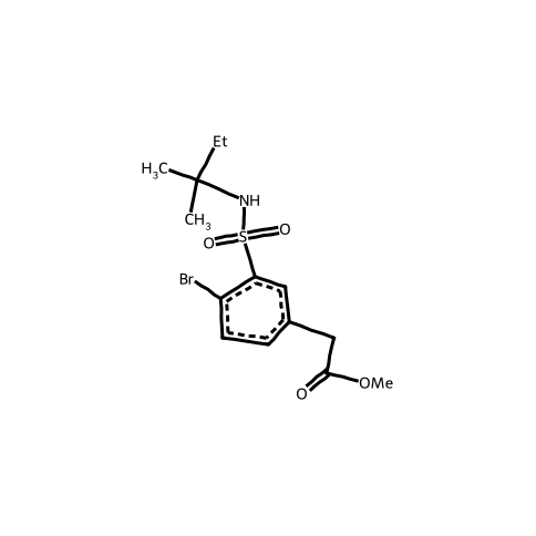 CCC(C)(C)NS(=O)(=O)c1cc(CC(=O)OC)ccc1Br